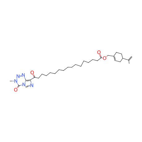 C=C(C)C1CC=C(COC(=O)CCCCCCCCCCCCCCCC(=O)c2ncn3c(=O)n(C)nnc23)CC1